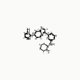 F[C@H]1CCCC[C@@H]1Nc1cccc(-c2cnc3cc(-c4ncc[nH]4)ccn23)n1